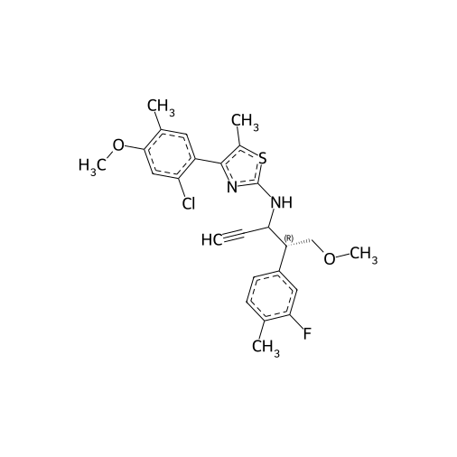 C#CC(Nc1nc(-c2cc(C)c(OC)cc2Cl)c(C)s1)[C@H](COC)c1ccc(C)c(F)c1